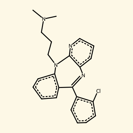 CN(C)CCCN1c2ccccc2C(c2ccccc2Cl)=Nc2cccnc21